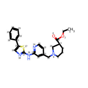 CCOC(=O)C1CCCN(Cc2ccnc(Nc3ncc(-c4ccccc4)s3)c2)C1